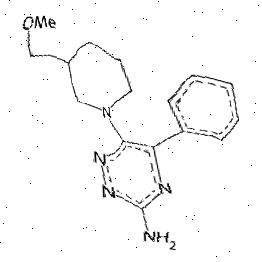 COCC1CCCN(c2nnc(N)nc2-c2ccccc2)C1